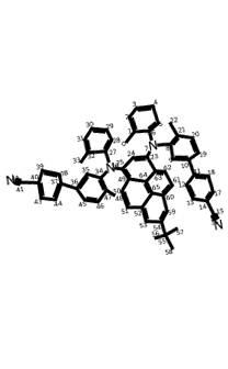 Cc1ccccc1N(c1cc(-c2ccc(C#N)cc2)ccc1C)c1cc(N(c2ccccc2C)c2cc(-c3ccc(C#N)cc3)ccc2C)c2ccc3cc(C(C)(C)C)cc4ccc1c2c43